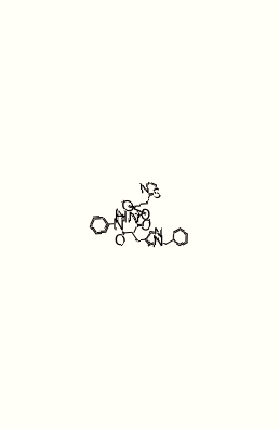 CCN(C(=O)C(Cc1cnn(Cc2ccccc2)c1)C(=O)NS(=O)(=O)C=Cc1nccs1)c1ccccc1